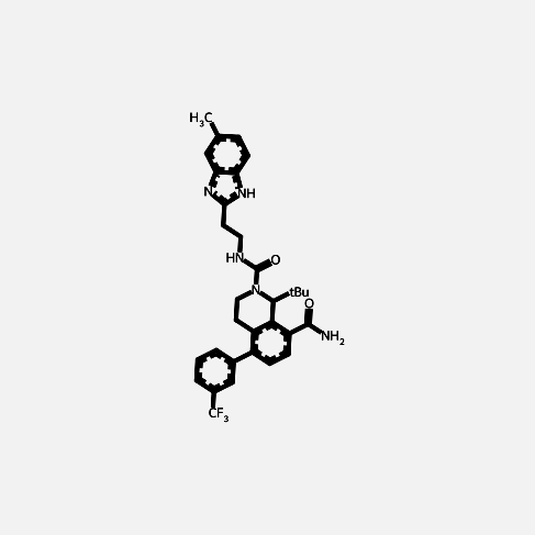 Cc1ccc2[nH]c(CCNC(=O)N3CCc4c(-c5cccc(C(F)(F)F)c5)ccc(C(N)=O)c4C3C(C)(C)C)nc2c1